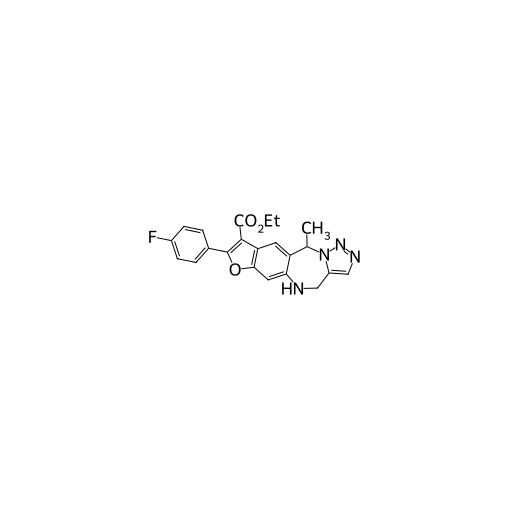 CCOC(=O)c1c(-c2ccc(F)cc2)oc2cc3c(cc12)C(C)n1nncc1CN3